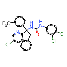 O=C(Nc1ccc(Cl)c(Cl)c1)NC(Cc1ccccc1)(c1cccc(C(F)(F)F)c1)c1ccc(Cl)cn1